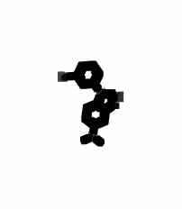 CN(C)c1ccc2c(c1)ncn2-c1cccc(Br)c1.Cl